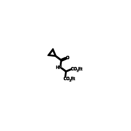 CCOC(=O)C(NC(=O)C1CC1)C(=O)OCC